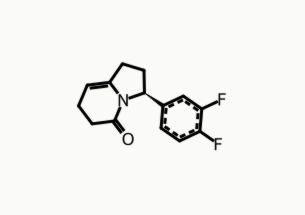 O=C1CCC=C2CC[C@@H](c3ccc(F)c(F)c3)N12